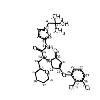 CC(C)(O)Cn1ccc(NC(=O)[C@H](CC2CCCCO2)N2CC(Oc3cccc(Cl)c3Cl)=CC2=O)n1